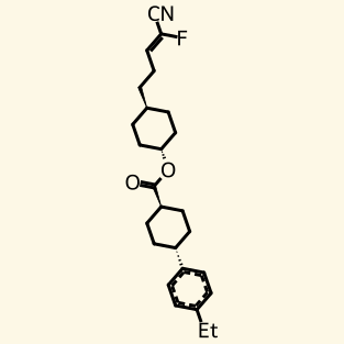 CCc1ccc([C@H]2CC[C@H](C(=O)O[C@H]3CC[C@H](CCC=C(F)C#N)CC3)CC2)cc1